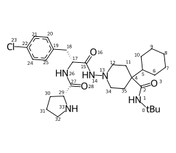 CC(C)(C)NC(=O)C1(C2CCCCC2)CCN(NC(=O)[C@@H](Cc2ccc(Cl)cc2)NC(=O)[C@H]2CCCN2)CC1